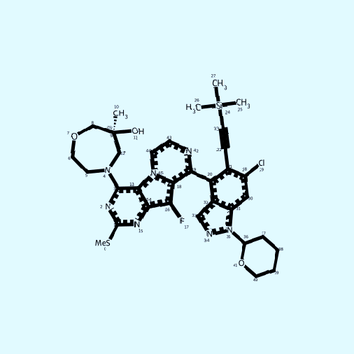 CSc1nc(N2CCOC[C@@](C)(O)C2)c2c(n1)c(F)c1c(-c3c(C#C[Si](C)(C)C)c(Cl)cc4c3cnn4C3CCCCO3)nccn12